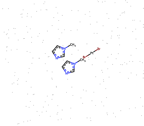 Cn1ccnc1.Cn1ccnc1.[Br][Pt][Br]